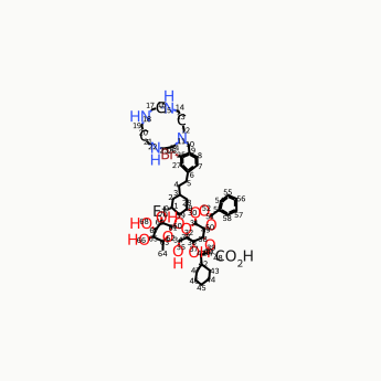 CCC1CC(CCc2ccc(CN3CCCNCCNCCCNCC3)c(Br)c2)CC(OC2OC(CO)C(O)C(O[C@@H](CC3CCCCC3)C(=O)O)C2OC(=O)c2ccccc2)C1OC1OC(C)C(O)C(O)C1O